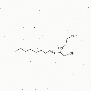 CCCCCCC/C=C/C(CO)NCCO